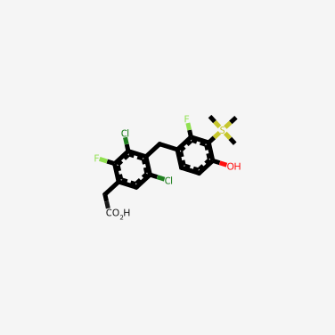 CS(C)(C)c1c(O)ccc(Cc2c(Cl)cc(CC(=O)O)c(F)c2Cl)c1F